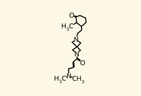 CC1C(=O)CCCC1CCN1CC2(C1)CN(C(=O)C=CCN(C)C)C2